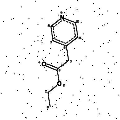 CCOC(=O)Cc1c[c]ncc1